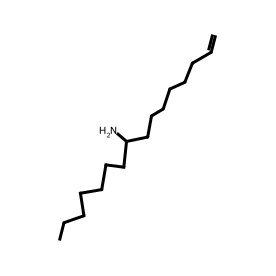 C=CCCCCCCC(N)CCCCCCC